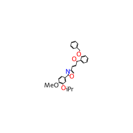 COc1ccc(-c2nc(C=CC(=O)c3ccccc3OCc3ccccc3)co2)cc1OC(C)C